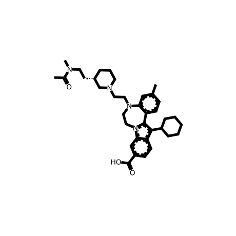 CC(=O)N(C)CC[C@@H]1CCCN(CCN2CCn3c(c(C4CCCCC4)c4ccc(C(=O)O)cc43)-c3ccc(C)cc32)C1